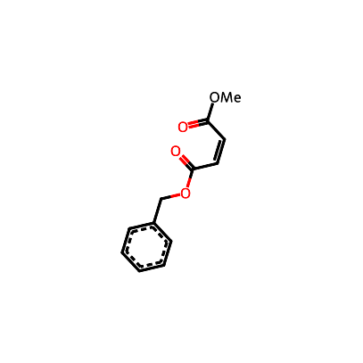 COC(=O)/C=C\C(=O)OCc1ccccc1